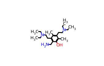 CCN(CC)CCc1c(C)c(O)c(CN)c(CCN(CC)CC)c1C